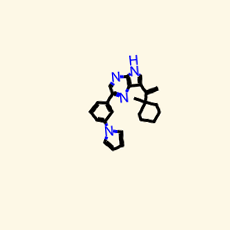 C=C(c1c[nH]c2ncc(-c3cccc(-n4cccc4)c3)nc12)C1(C)CCCCC1